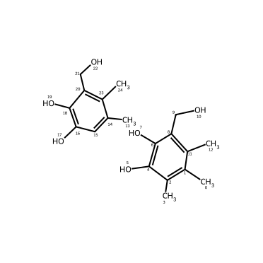 Cc1c(C)c(O)c(O)c(CO)c1C.Cc1cc(O)c(O)c(CO)c1C